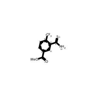 COC(=O)c1ccc(C(F)(F)F)c(C(N)=S)c1